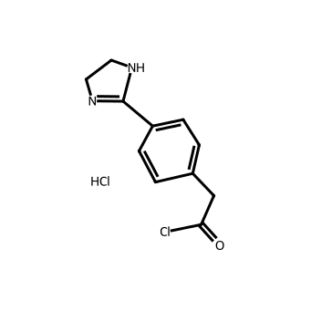 Cl.O=C(Cl)Cc1ccc(C2=NCCN2)cc1